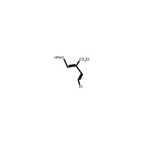 CCC=CC(=CCCCCC)C(=O)OCC